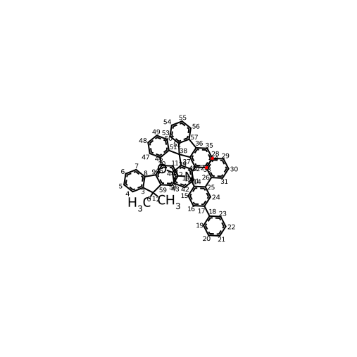 CC1(C)c2ccccc2-c2ccc(N(c3ccc(-c4ccccc4)cc3-c3ccccc3)c3cccc4c3C3(c5ccccc5Oc5ccccc53)c3ccccc3-4)cc21